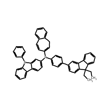 CCC1(CC)c2ccccc2-c2cc(-c3ccc(N(C4=CCc5ccccc5C=C4)c4ccc5c6ccccc6n(-c6ccccc6)c5c4)cc3)ccc21